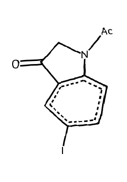 CC(=O)N1CC(=O)c2cc(I)ccc21